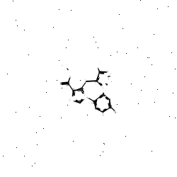 CCOC(=O)c1nnn2c1Cc1c(C(=O)OC(C)(C)C)ncn1-c1ccc(Cl)cc1-2